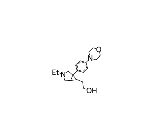 CCN1CC2C(CCO)C2(c2ccc(N3CCOCC3)cc2)C1